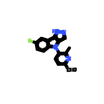 Cc1nc(C=O)ccc1-n1c2ccc(F)cc2c2[nH]ncc21